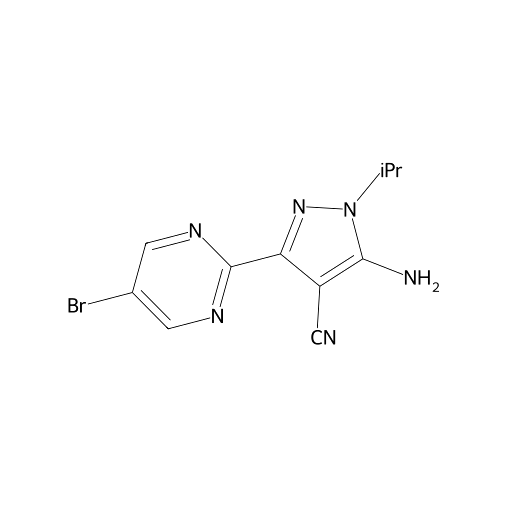 CC(C)n1nc(-c2ncc(Br)cn2)c(C#N)c1N